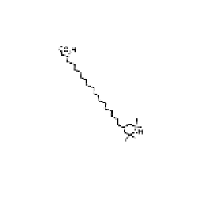 CC1(C)CC(CCCCCCCCCCCCCCCCCCCC(=O)O)CC(C)(C)N1